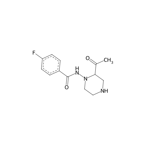 CC(=O)C1CNCCN1NC(=O)c1ccc(F)cc1